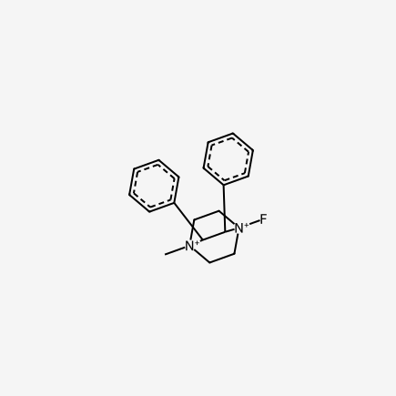 C[N+]12CC[N+](F)(CC1)C(c1ccccc1)C2c1ccccc1